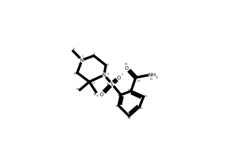 CN1CCN(S(=O)(=O)c2ccccc2C(N)=O)C(C)(C)C1